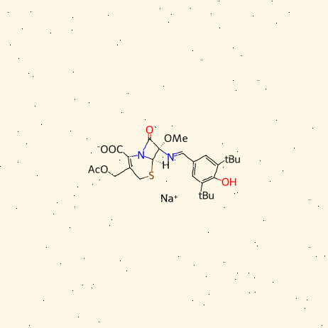 CO[C@@]1(/N=C/c2cc(C(C)(C)C)c(O)c(C(C)(C)C)c2)C(=O)N2C(C(=O)[O-])=C(COC(C)=O)CS[C@@H]21.[Na+]